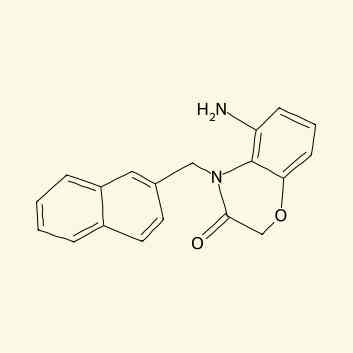 Nc1cccc2c1N(Cc1ccc3ccccc3c1)C(=O)CO2